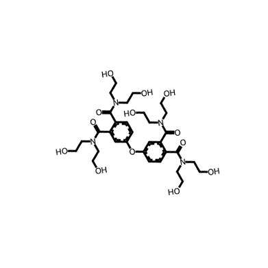 O=C(c1ccc(Oc2ccc(C(=O)N(CCO)CCO)c(C(=O)N(CCO)CCO)c2)cc1C(=O)N(CCO)CCO)N(CCO)CCO